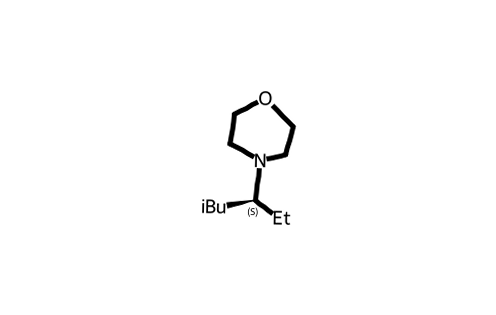 CCC(C)[C@H](CC)N1CCOCC1